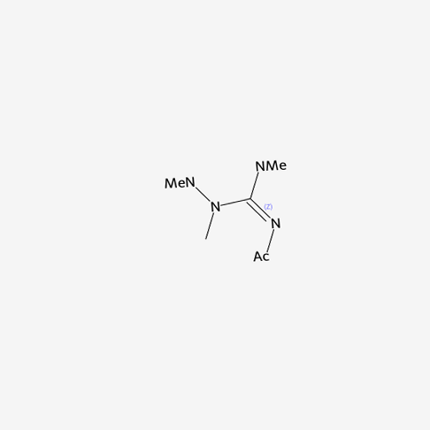 CN/C(=N/C(C)=O)N(C)NC